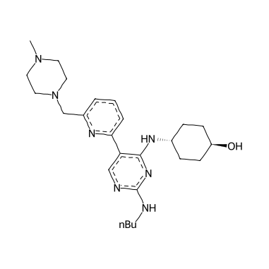 CCCCNc1ncc(-c2cccc(CN3CCN(C)CC3)n2)c(N[C@H]2CC[C@H](O)CC2)n1